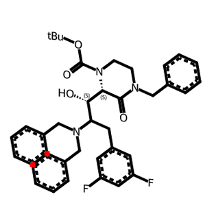 CC(C)(C)OC(=O)N1CCN(Cc2ccccc2)C(=O)[C@@H]1[C@@H](O)C(Cc1cc(F)cc(F)c1)N(Cc1ccccc1)Cc1ccccc1